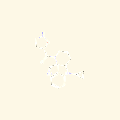 N=CC1(c2ccccc2)C(NC2CC2)[CH]CCN1C(=O)C1CCNO1